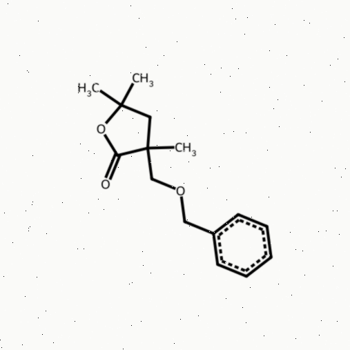 CC1(C)CC(C)(COCc2ccccc2)C(=O)O1